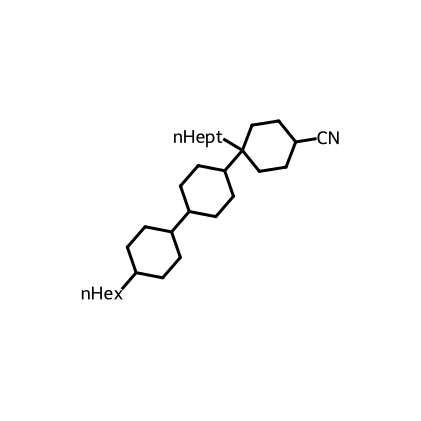 CCCCCCCC1(C2CCC(C3CCC(CCCCCC)CC3)CC2)CCC(C#N)CC1